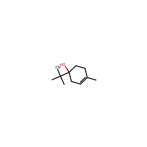 CC1=CCC(O)(C(C)(C)C#N)CC1